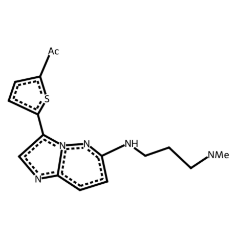 CNCCCNc1ccc2ncc(-c3ccc(C(C)=O)s3)n2n1